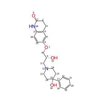 O=C1CCc2cc(OC[C@H](O)CN3CCC(O)(c4ccccc4)CC3)ccc2N1